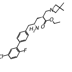 CCOC(=O)[C@@H](C[C@H](N)Cc1ccc(-c2cc(Cl)ccc2F)cc1)CN1CC(C)(C)C1